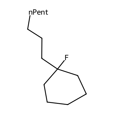 CCCCCCCCC1(F)CCCCC1